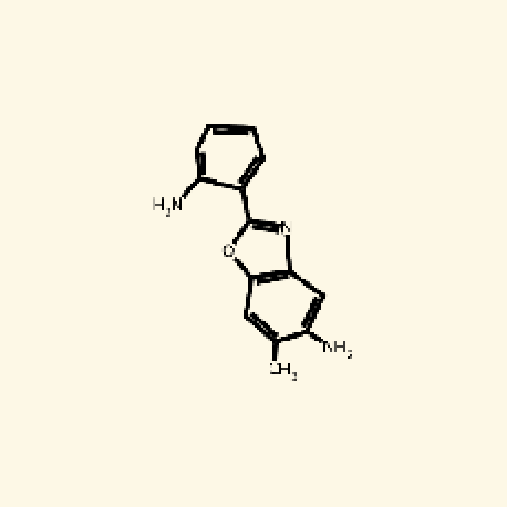 Cc1cc2oc(-c3ccccc3N)nc2cc1N